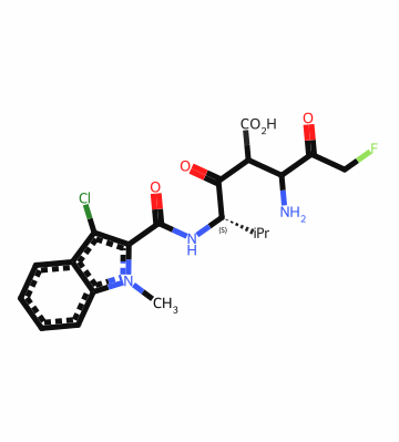 CC(C)[C@H](NC(=O)c1c(Cl)c2ccccc2n1C)C(=O)C(C(=O)O)C(N)C(=O)CF